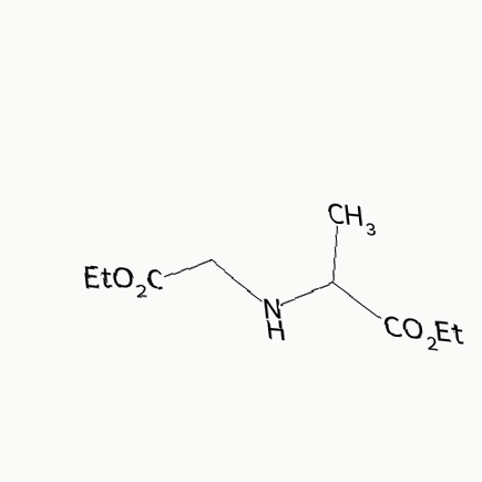 CCOC(=O)CNC(C)C(=O)OCC